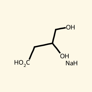 O=C(O)CC(O)CO.[NaH]